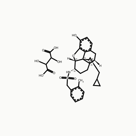 Cc1ccccc1CS(=O)(=O)N[C@H]1CC[C@@]2(O)[C@H]3Cc4ccc(O)c5c4[C@@]2(CCN3CC2CC2)[C@H]1O5.O=C(O)C(O)C(O)C(=O)O